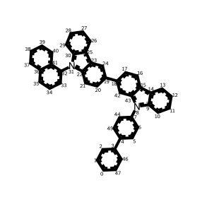 c1ccc(-c2ccc(-n3c4ccccc4c4ccc(-c5ccc6c(c5)c5ccccc5n6-c5cccc6ccccc56)cc43)cc2)cc1